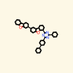 c1ccc(-c2ccc(-c3nc(-c4ccccc4)nc(-c4cccc5c4oc4ccc(-c6ccc7c(c6)oc6ccccc67)cc45)n3)cc2)cc1